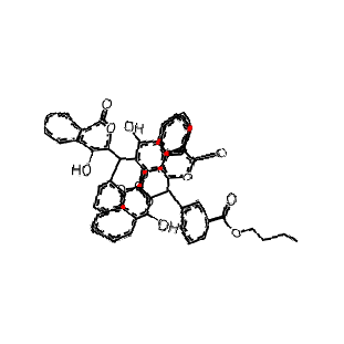 CCCCOC(=O)c1cccc(C(c2oc(=O)c3ccccc3c2OC(=O)c2ccccc2C(c2oc(=O)c3ccccc3c2O)c2c(O)c3ccccc3oc2=O)c2c(O)c3ccccc3oc2=O)c1